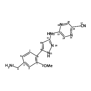 COc1cc(CN)ccc1-c1cc(Nc2cnc(C#N)cn2)n[nH]1